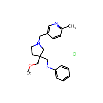 CCOC[C@@]1(CNc2ccccc2)CCN(Cc2ccc(C)nc2)C1.Cl